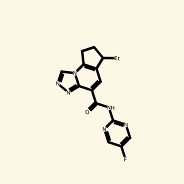 CCC1CCc2c1cc(C(=O)Nc1ncc(F)cn1)c1nncn21